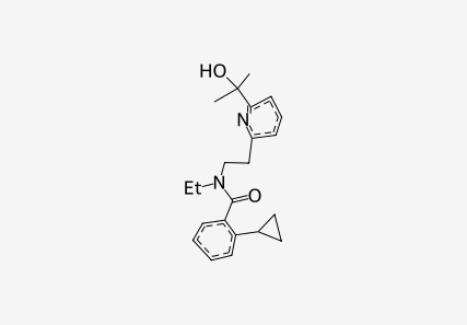 CCN(CCc1cccc(C(C)(C)O)n1)C(=O)c1ccccc1C1CC1